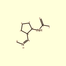 C=C(C)NC1CCCC1/C=N\C